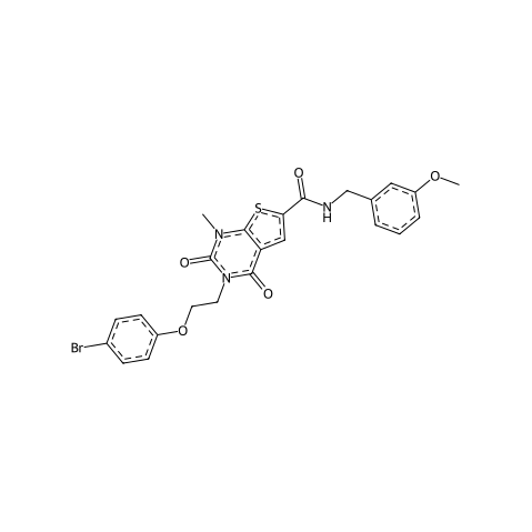 COc1cccc(CNC(=O)c2cc3c(=O)n(CCOc4ccc(Br)cc4)c(=O)n(C)c3s2)c1